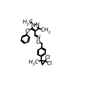 Cc1nn(C)c(Oc2ccccc2)c1C=NOCc1ccc(C2(C)CC2(Cl)Cl)cc1